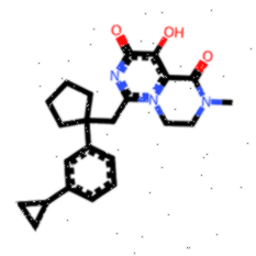 CN1CCn2c(CC3(c4cccc(C5CC5)c4)CCCC3)nc(=O)c(O)c2C1=O